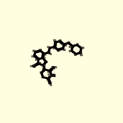 O=C1CCC(N2Cc3c(OCc4ccc(CN5CCOCC5)cn4)cccc3C2=O)C(=O)N1